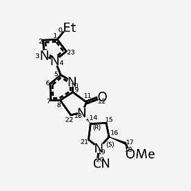 CCc1cnn(-c2ccc3c(n2)C(=O)N([C@@H]2C[C@@H](COC)N(C#N)C2)C3)c1